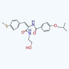 CSc1ccc(/C=C(/NC(=O)c2ccc(OCC(C)C)cc2)C(=O)NCCO)cc1